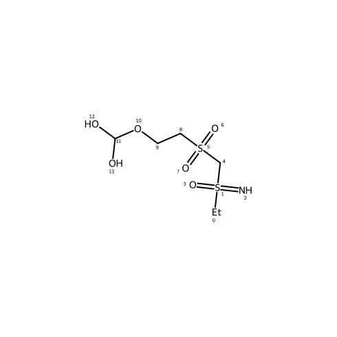 CCS(=N)(=O)CS(=O)(=O)CCOC(O)O